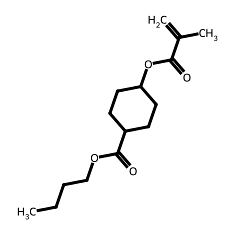 C=C(C)C(=O)OC1CCC(C(=O)OCCCC)CC1